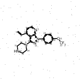 C=Cc1ccnc2c1c(N1CCNCC1)nn2-c1ccc(OC(F)(F)F)cc1